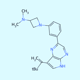 C=C(c1c[nH]c2ncc(-c3cccc(N4CC(N(C)C)C4)c3)nc12)C(C)(C)C